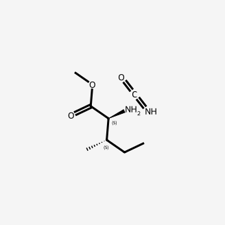 CC[C@H](C)[C@H](N)C(=O)OC.N=C=O